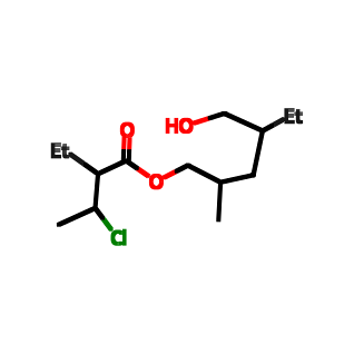 CCC(CO)CC(C)COC(=O)C(CC)C(C)Cl